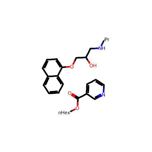 CC(C)NCC(O)COc1cccc2ccccc12.CCCCCCOC(=O)c1cccnc1